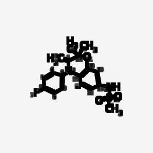 C=C1N(c2ccc(F)cc2)c2ccc(NS(C)(=O)=O)cc2OC1(C)C